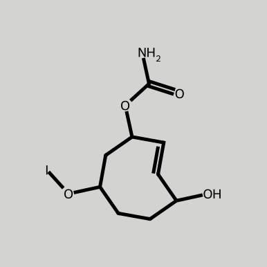 NC(=O)OC1/C=C/C(O)CCC(OI)C1